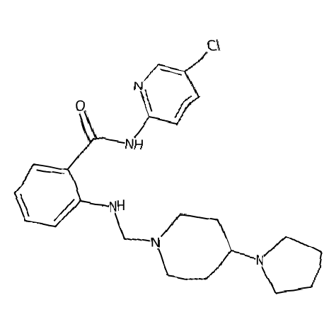 O=C(Nc1ccc(Cl)cn1)c1ccccc1NCN1CCC(N2CCCC2)CC1